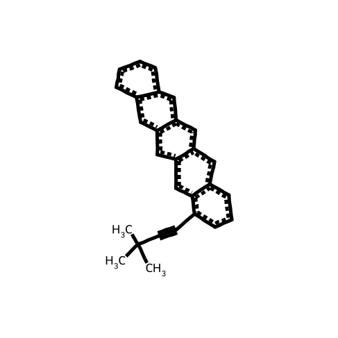 CC(C)(C)C#Cc1cccc2cc3cc4cc5ccccc5cc4cc3cc12